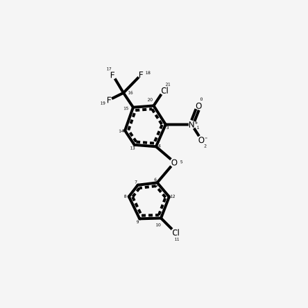 O=[N+]([O-])c1c(Oc2cccc(Cl)c2)ccc(C(F)(F)F)c1Cl